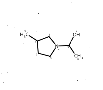 CC1CCN(C(C)O)C1